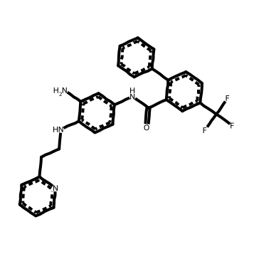 Nc1cc(NC(=O)c2cc(C(F)(F)F)ccc2-c2ccccc2)ccc1NCCc1ccccn1